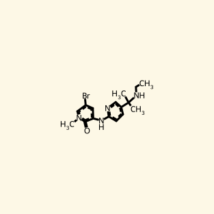 CCNC(C)(C)c1ccc(Nc2cc(Br)cn(C)c2=O)nc1